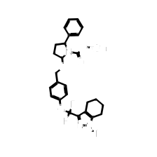 CC(C)n1nc(C(F)(F)Oc2ccc(CSC3CCC(c4ccccc4)N3C(=O)OC(C)(C)C)cc2)c2c1CCCC2